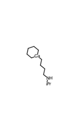 CC(C)NCCC[CH2][Ga]1[CH2]CCC[CH2]1